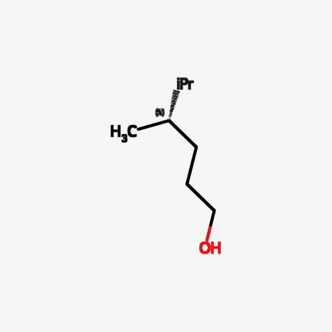 CC(C)[C@@H](C)CCCO